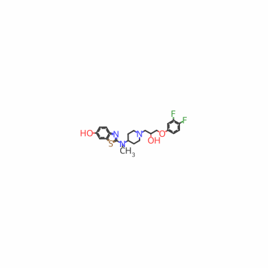 CN(c1nc2ccc(O)cc2s1)C1CCN(C[C@H](O)COc2ccc(F)c(F)c2)CC1